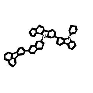 c1ccc(-n2c3ccccc3c3ccc(-c4ccc5c6ccc7ccccc7c6n(-c6ccc7ccc(-c8ccc9c(c8)-c8cccc%10cccc-9c8%10)cc7c6)c5c4)cc32)cc1